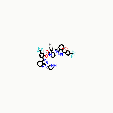 CC(C)(C)[C@@H]1C(Nc2nnc(-c3ccc(C(F)(F)F)cc3O)c3c2CCCCC3)CCCN1C(=O)Oc1cc(C(F)(F)F)ccc1-c1nnc(N[C@@H]2CCCNC2)c2c1CCCCC2